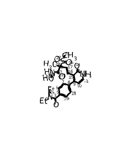 CCN(CC)C(=O)c1ccc(-c2cc[nH]c(=O)c2CCC(C)(C(=O)NO)S(C)(=O)=O)cc1